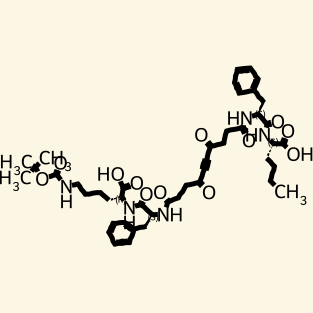 CCCC[C@H](NC(=O)[C@H](Cc1ccccc1)NC(=O)CCC(=O)C#CC(=O)CCC(=O)N[C@@H](Cc1ccccc1)C(=O)N[C@H](CCCCNC(=O)OC(C)(C)C)C(=O)O)C(=O)O